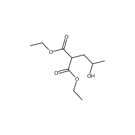 CCOC(=O)C(CC(C)O)C(=O)OCC